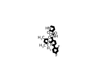 C[C@@H]1CN(c2nc(-c3ccc(F)cc3F)ccc2C(=O)NS(=O)(=O)c2ccc[nH]c2=O)C(C)(C)C1